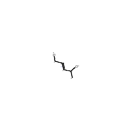 CC(Cl)/C=C/CCl